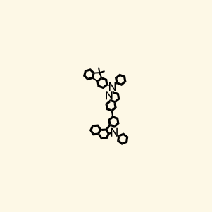 CC1(C)c2ccccc2-c2ccc(N(c3ccccc3)c3ccc4cc(-c5ccc6c(c5)c5c7ccccc7ccc5n6-c5ccccc5)ccc4n3)cc21